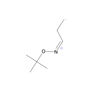 [CH2]C/C=N\OC(C)(C)C